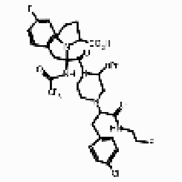 CCCC1CN(C(Cc2ccc(Cl)cc2)C(=O)NCCF)CCN1C(=O)C(Cc1ccc(F)cc1)(NC(=O)C(F)(F)F)N1CCCC1C(=O)O